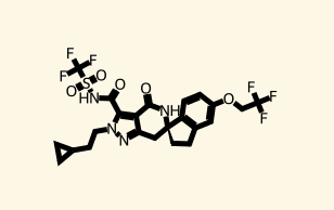 O=C1N[C@@]2(CCc3cc(OCC(F)(F)F)ccc32)Cc2nn(CCC3CC3)c(C(=O)NS(=O)(=O)C(F)(F)F)c21